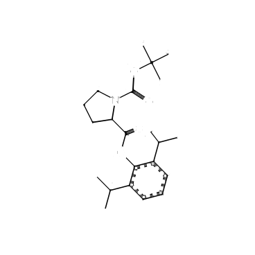 CC(C)c1cccc(C(C)C)c1OC(=O)C1CCCN1C(=O)OC(C)(C)C